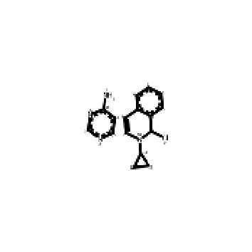 ClC1c2ccccc2C=CN1C1CC1.Nc1ccncn1